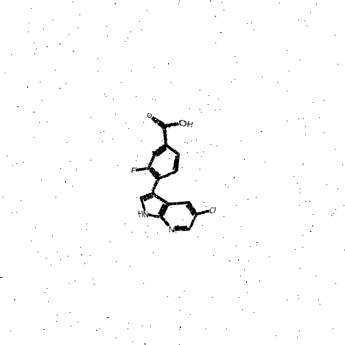 O=C(O)c1ccc(-c2c[nH]c3ncc(Cl)cc23)c(F)c1